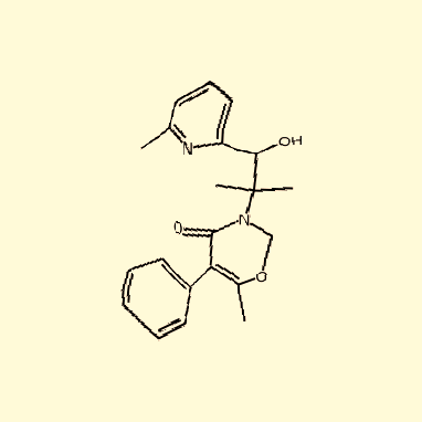 CC1=C(c2ccccc2)C(=O)N(C(C)(C)C(O)c2cccc(C)n2)CO1